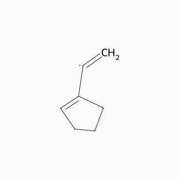 C=[C]C1=CCCC1